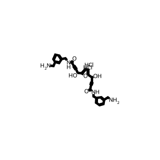 Cl.Cl.NCc1cccc(CNC(=O)C#CC(O)c2ccc(C(O)C#CC(=O)NCc3cccc(CN)c3)o2)c1